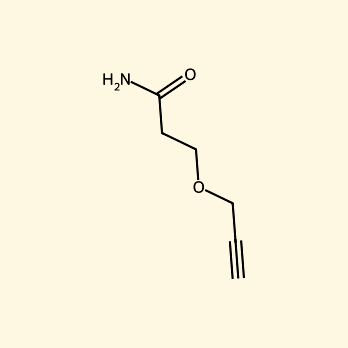 C#CCOCCC(N)=O